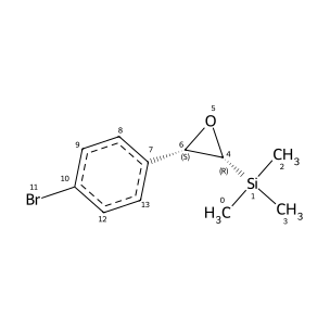 C[Si](C)(C)[C@H]1O[C@H]1c1ccc(Br)cc1